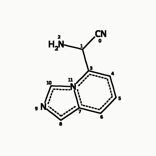 N#CC(N)c1cccc2cncn12